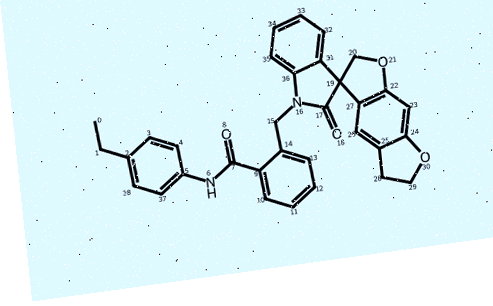 CCc1ccc(NC(=O)c2ccccc2CN2C(=O)C3(COc4cc5c(cc43)CCO5)c3ccccc32)cc1